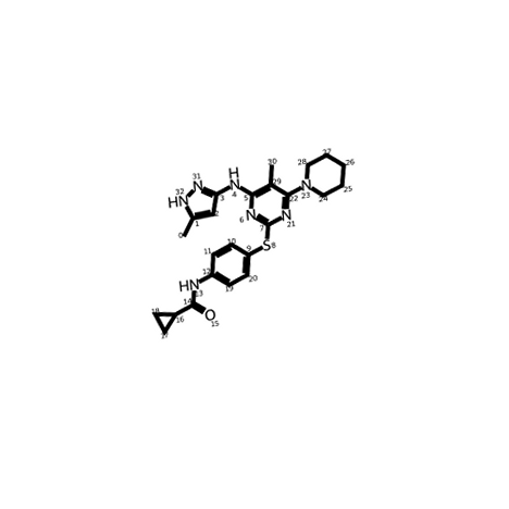 Cc1cc(Nc2nc(Sc3ccc(NC(=O)C4CC4)cc3)nc(N3CCCCC3)c2C)n[nH]1